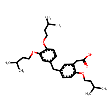 CC(C)CCOc1ccc(Cc2ccc(OCCC(C)C)c(OCCC(C)C)c2)cc1CC(=O)O